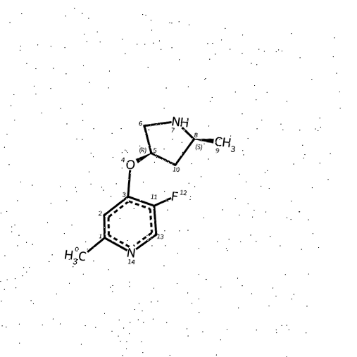 Cc1cc(O[C@H]2CN[C@@H](C)C2)c(F)cn1